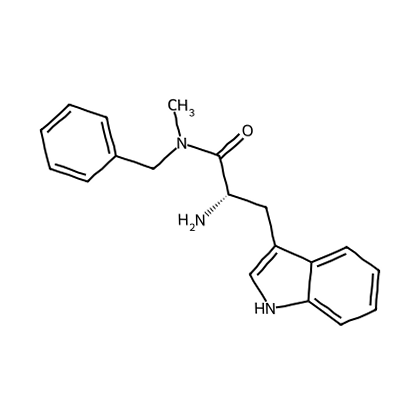 CN(Cc1ccccc1)C(=O)[C@@H](N)Cc1c[nH]c2ccccc12